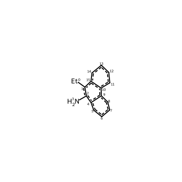 CCc1c(N)c2ccccc2c2ccccc12